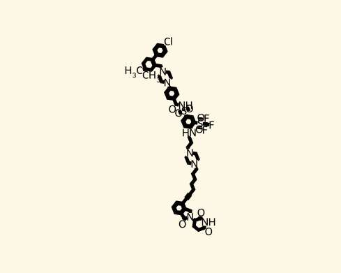 CC1(C)CCC(c2ccc(Cl)cc2)=C(CN2CCN(c3ccc(C(=O)NS(=O)(=O)c4ccc(NCCCN5CCN(CCCCCC#Cc6cccc7c6CN(C6CCC(=O)NC6=O)C7=O)CC5)c(S(=O)(=O)C(F)(F)F)c4)cc3)CC2)C1